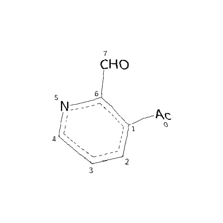 CC(=O)c1cccnc1C=O